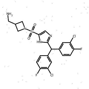 NCC1CN(S(=O)(=O)c2cnc(C(c3ccc(F)c(Cl)c3)c3ccc(F)c(Cl)c3)[nH]2)C1